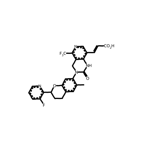 Cc1cc2c(cc1N1Cc3c(C(F)(F)F)ncc(C=CC(=O)O)c3NC1=O)OC(c1ncccc1F)CC2